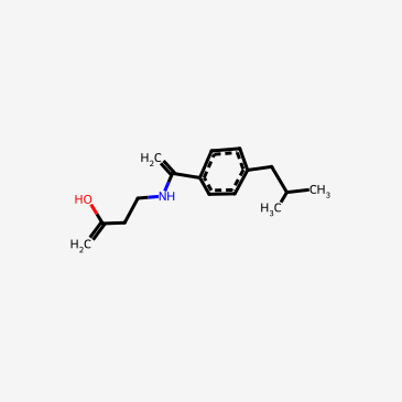 C=C(O)CCNC(=C)c1ccc(CC(C)C)cc1